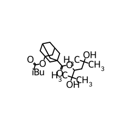 CCC(C)C(=O)OC12CC3CC(C1)CC(C(=O)OC(CC(C)(C)O)C(C)(C)O)(C3)C2